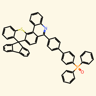 O=P(c1ccccc1)(c1ccccc1)c1ccc(-c2ccc(-c3nc4ccccc4c4c5c(ccc34)C3(c4ccccc4S5)c4ccccc4-c4ccccc43)cc2)cc1